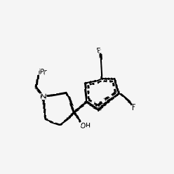 CC(C)CN1CCC(O)(c2cc(F)cc(F)c2)C1